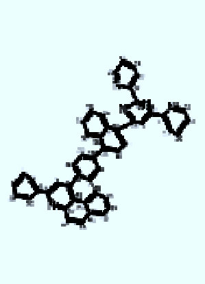 c1ccc(-c2cc(-c3ccc(-c4ccc(-c5cc(-c6ccccn6)nc(-c6ccccn6)n5)c5ccccc45)cc3)c3c(ccc4ccccc43)n2)cc1